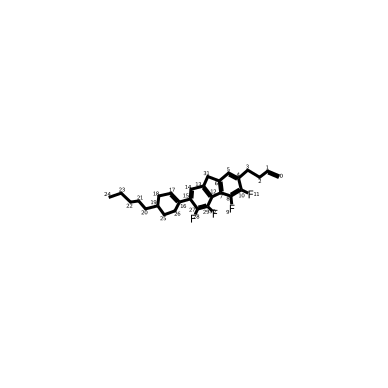 C=CCCc1cc2c(c(F)c1F)-c1c(cc(C3=CCC(CCCCC)CC3)c(F)c1F)C2